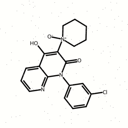 O=c1c([N+]2([O-])CCCCC2)c(O)c2cccnc2n1-c1cccc(Cl)c1